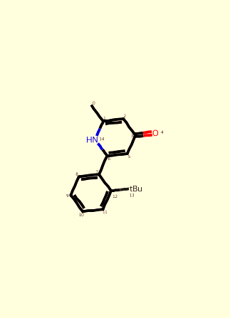 Cc1cc(=O)cc(-c2ccccc2C(C)(C)C)[nH]1